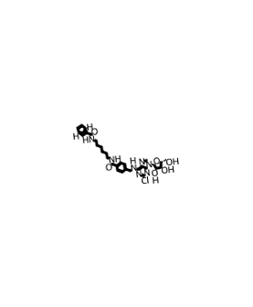 O=C(NCCCCCCNC(=O)C1C[C@H]2C=C[C@@H]1C2)c1ccc(CNc2nc(Cl)nc3c2ncn3[C@@H]2O[C@H](CO)[C@@H](O)[C@H]2O)cc1